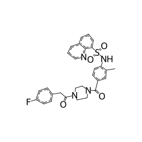 Cc1cc(C(=O)N2CCN(C(=O)Cc3ccc(F)cc3)CC2)ccc1NS(=O)(=O)c1cccc2cccnc12